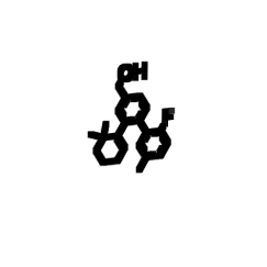 Cc1ccc(F)c(-c2ccc(CO)cc2C2=CCCCC2(C)C)c1